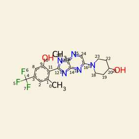 Cc1cc(C(F)(F)F)cc(O)c1-c1nc2nc(N3CCC(O)CC3)cnc2n1C